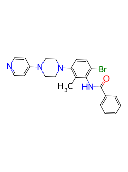 Cc1c(N2CCN(c3ccncc3)CC2)ccc(Br)c1NC(=O)c1ccccc1